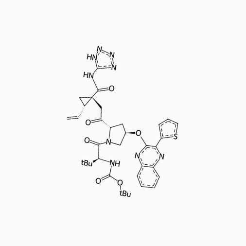 C=C[C@@H]1C[C@]1(CC(=O)[C@@H]1C[C@@H](Oc2nc3ccccc3nc2-c2cccs2)CN1C(=O)[C@@H](NC(=O)OC(C)(C)C)C(C)(C)C)C(=O)Nc1nnn[nH]1